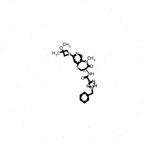 COC1(C)CN(c2cc3c(cn2)N(C)C(=O)[C@@H](NC(=O)c2nnn(Cc4ccccc4)n2)CS3)C1